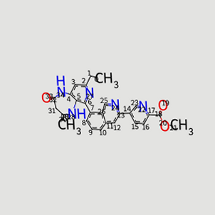 CCc1cc2c(c(-c3cccc4cc(-c5ccc(C(=O)OC)nc5)ncc34)n1)N[C@H](C)CC(=O)N2